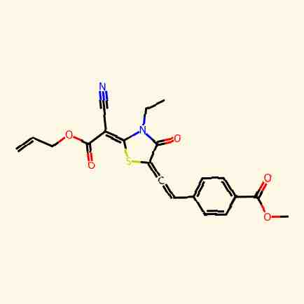 C=CCOC(=O)/C(C#N)=c1\sc(=C=Cc2ccc(C(=O)OC)cc2)c(=O)n1CC